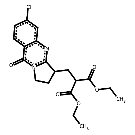 CCOC(=O)C(CC1CCn2c1nc1cc(Cl)ccc1c2=O)C(=O)OCC